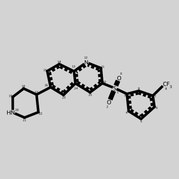 O=S(=O)(c1cccc(C(F)(F)F)c1)c1cnc2ccc(C3CCNCC3)cc2c1